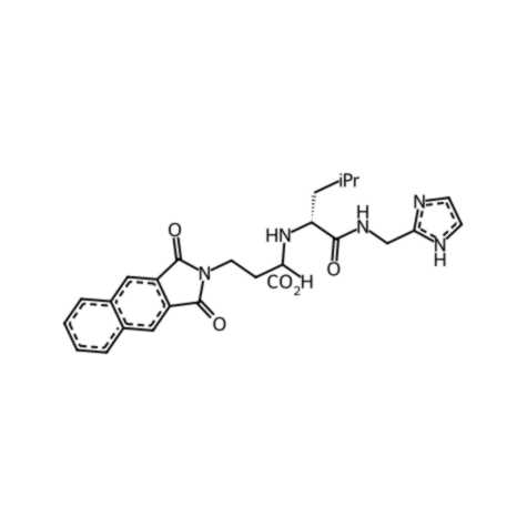 CC(C)C[C@@H](NC(CCN1C(=O)c2cc3ccccc3cc2C1=O)C(=O)O)C(=O)NCc1ncc[nH]1